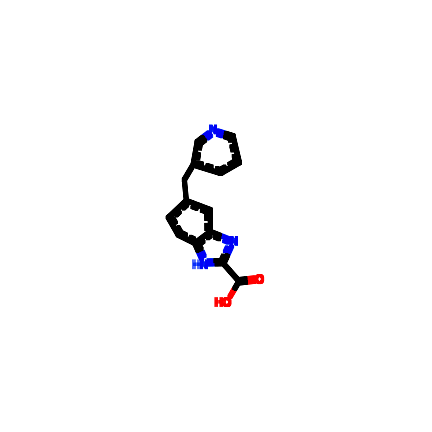 O=C(O)c1nc2cc(Cc3cccnc3)ccc2[nH]1